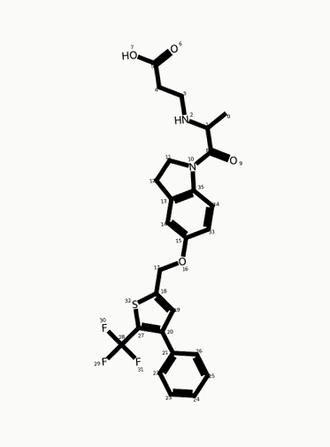 CC(NCCC(=O)O)C(=O)N1CCc2cc(OCc3cc(-c4ccccc4)c(C(F)(F)F)s3)ccc21